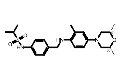 Cc1cc(N2C[C@@H](C)O[C@@H](C)C2)ccc1NCc1ccc(NS(=O)(=O)C(C)C)cc1